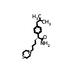 CC(C)Cc1ccc([C@@H](CCCCN2CCSCC2)C(N)=O)cc1